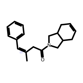 C/C(=C/c1ccccc1)CC(=O)N1CC2CC=CCC2C1